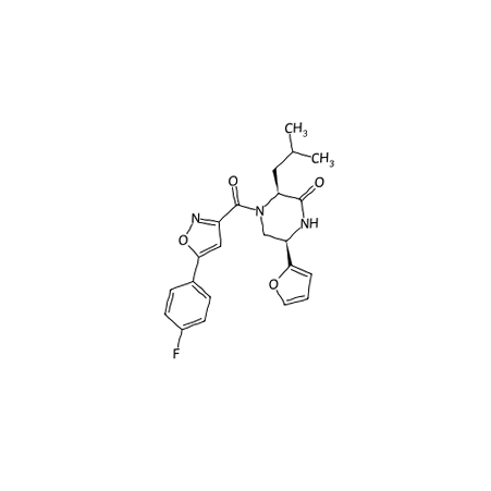 CC(C)C[C@H]1C(=O)N[C@@H](c2ccco2)CN1C(=O)c1cc(-c2ccc(F)cc2)on1